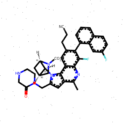 Cc1nc2c(F)c(-c3cccc4ccc(F)cc34)c(CCC#N)cc2c2c1cc(CN1CCNCC1=O)n2[C@H]1[C@@H]2C[C@H]1N(C(=O)O)C2